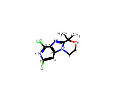 CC1(C)OCCn2c1nc1c(Cl)nc(Cl)cc12